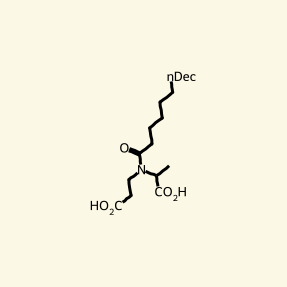 CCCCCCCCCCCCCCCC(=O)N(CCC(=O)O)C(C)C(=O)O